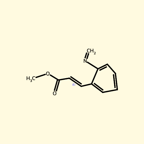 C=Nc1ccccc1/C=C/C(=O)OC